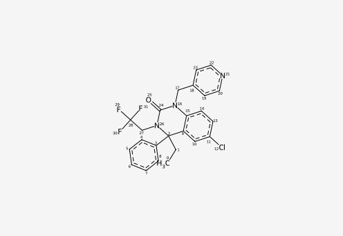 CCC1(c2ccccc2)c2cc(Cl)ccc2N(Cc2ccncc2)C(=O)N1CC(F)(F)F